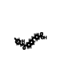 CN1CCN(CNC(=O)c2ccc3ccc(Cc4ccc(C(=O)O)cc4)cc3c2)CC1